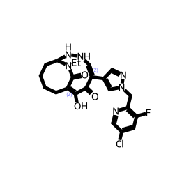 CCN1C(=O)/C2=C(\O)C(=O)/C(c3cnn(Cc4ncc(Cl)cc4F)c3)=C\NNC1CCCC2